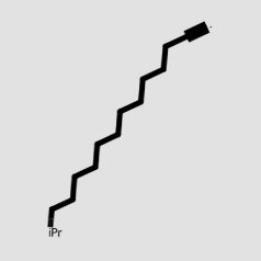 [C]#CCCCCCCCCCCCC(C)C